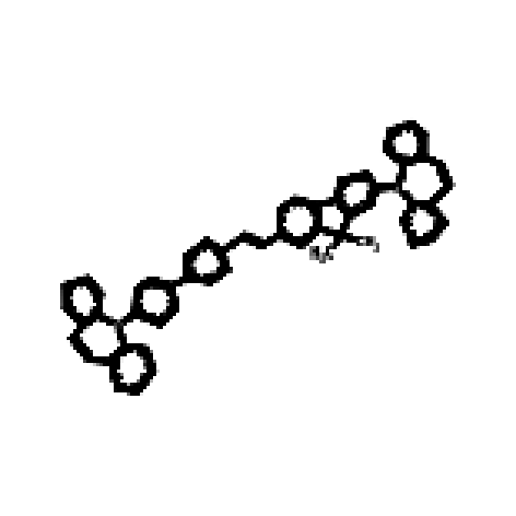 CC1(C)c2cc(/C=C/c3ccc(-c4ccc(N5c6ccccc6C=Cc6ccccc65)cc4)cc3)ccc2-c2ccc(N3c4ccccc4C=Cc4ccccc43)cc21